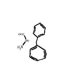 NNC=O.c1ccc(-c2ccccc2)cc1